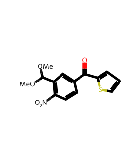 COC(OC)c1cc(C(=O)c2cccs2)ccc1[N+](=O)[O-]